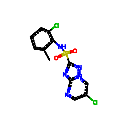 Cc1cccc(Cl)c1NS(=O)(=O)c1nc2ncc(Cl)cn2n1